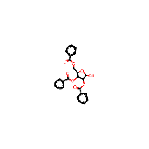 O=C(OCC1OC(O)C(OC(=O)c2ccccc2)C1OC(=O)c1ccccc1)c1ccccc1